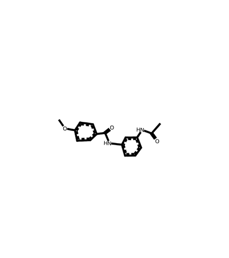 COc1ccc(C(=O)Nc2cccc(NC(C)=O)c2)cc1